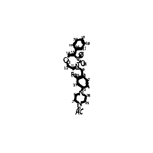 CC(=O)N1CCN(c2ccc(CN3CCOCC(c4ccccc4)S3(=O)=O)c(F)c2)CC1